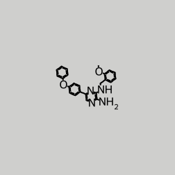 COc1ccccc1CNc1nc(-c2ccc(Oc3ccccc3)cc2)cnc1N